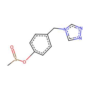 CS(=O)Oc1ccc(Cn2cnnc2)cc1